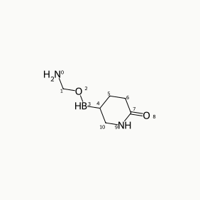 NCOBC1CCC(=O)NC1